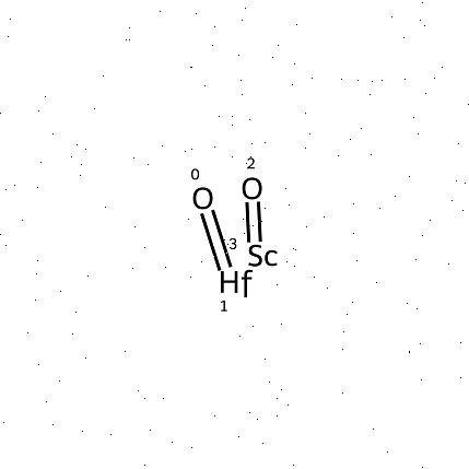 [O]=[Hf].[O]=[Sc]